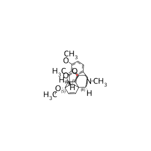 COc1ccc2c3c1O[C@H]1[C@]4(OC)C=CC5(C[C@@H]4C(C)=O)[C@@H](C2)N(C)CC[C@]315